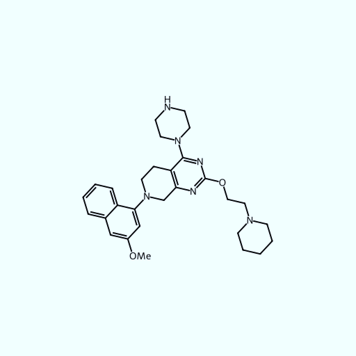 COc1cc(N2CCc3c(nc(OCCN4CCCCC4)nc3N3CCNCC3)C2)c2ccccc2c1